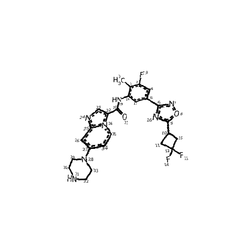 Cc1c(F)cc(-c2noc(C3CC(F)(F)C3)n2)cc1NC(=O)c1cnc2cc(N3CCNCC3)ccn12